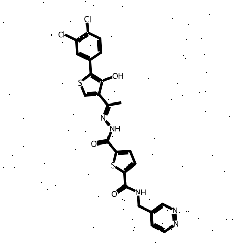 C/C(=N\NC(=O)c1ccc(C(=O)NCc2ccnnc2)s1)c1csc(-c2ccc(Cl)c(Cl)c2)c1O